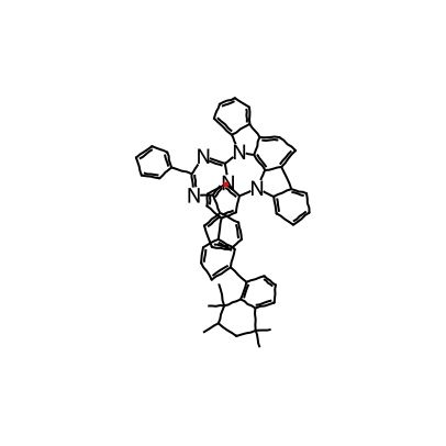 CC1CC(C)(C)c2cccc(-c3cccc(-c4cccc(-n5c6ccccc6c6ccc7c8ccccc8n(-c8nc(-c9ccccc9)nc(-c9ccccc9)n8)c7c65)c4)c3)c2C1(C)C